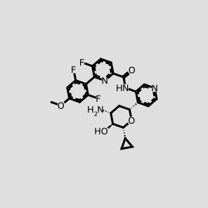 COc1cc(F)c(-c2nc(C(=O)Nc3cnccc3[C@H]3C[C@@H](N)[C@H](O)[C@@H](C4CC4)O3)ccc2F)c(F)c1